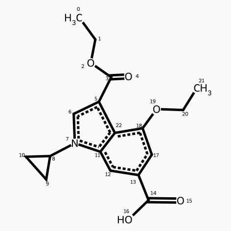 CCOC(=O)c1cn(C2CC2)c2cc(C(=O)O)cc(OCC)c12